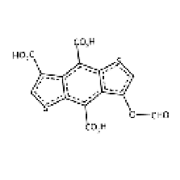 O=COc1csc2c(C(=O)O)c3c(C(=O)O)csc3c(C(=O)O)c12